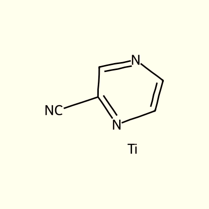 N#Cc1cnccn1.[Ti]